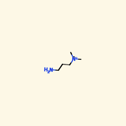 C[N+](C)CCCN